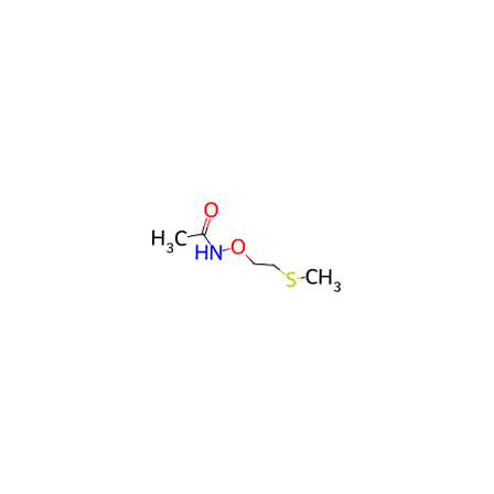 CSCCONC(C)=O